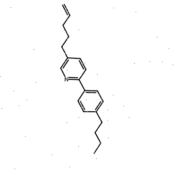 C=CCCCc1ccc(-c2ccc(CCCC)cc2)nc1